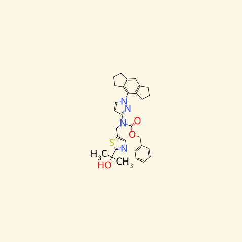 CC(C)(O)c1ncc(CN(C(=O)OCc2ccccc2)c2ccn(-c3c4c(cc5c3CCC5)CCC4)n2)s1